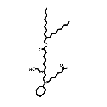 CCCCCCCCC(CCCCCCCC)COC(=O)CCCCCN(CCO)CCN(CCCCCC(C)=O)C1CCCCCC1